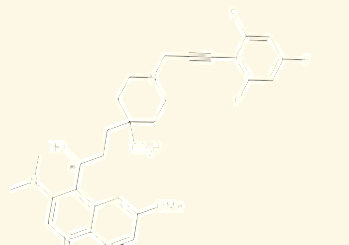 COc1ccc2ncc(N(C)C)c([C@H](O)CCC3(C(=O)O)CCN(CC#Cc4c(F)cc(F)cc4F)CC3)c2c1